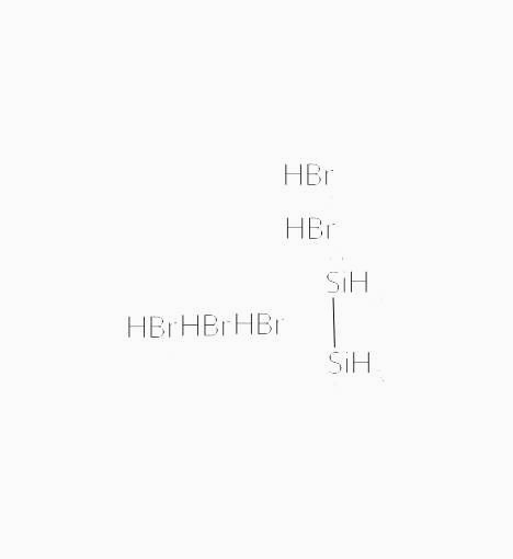 Br.Br.Br.Br.Br.[SiH3][SiH3]